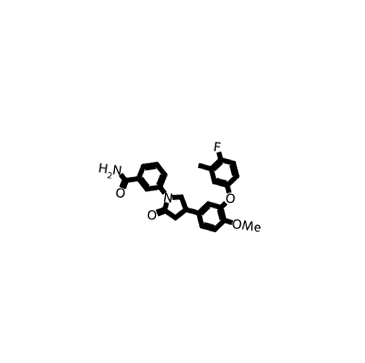 COc1ccc(C2CC(=O)N(c3cccc(C(N)=O)c3)C2)cc1Oc1ccc(F)c(C)c1